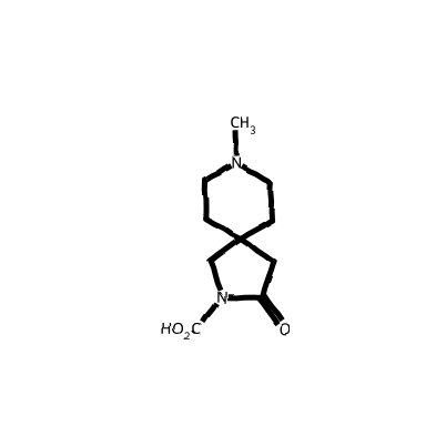 CN1CCC2(CC1)CC(=O)N(C(=O)O)C2